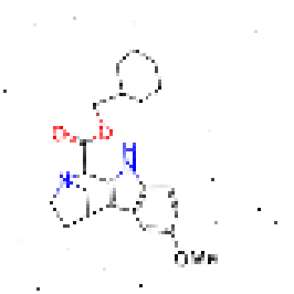 COc1ccc2[nH]c3c(c2c1)C1CCN(C1)C3C(=O)OCC1CCCCC1